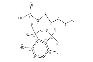 CCCCCOP(O)O.Cc1ccc(O)c(C(C)(C)C)c1C(C)(C)C